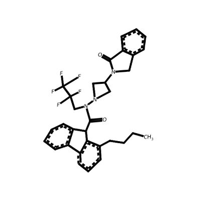 CCCCc1cccc2c1C(C(=O)N(CC(F)(F)C(F)(F)F)N1CC(N3Cc4ccccc4C3=O)C1)c1ccccc1-2